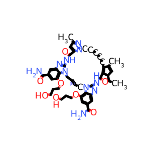 CCC1C=C(C)C2=C1C(=O)Nc1nc3cc(C(N)=O)cc(OCCCO)c3n1C/C=C/Cn1c(nc3cc(C(N)=O)cc(OCCCO)c31)NC(=O)c1cc(C)nn1CCCCC2